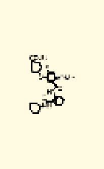 CCOC(=O)C1CCC(Oc2cc(C(=O)NC3C4CCC(C4)C3C(=O)NC3CCCCC3)c(OC)cc2F)CC1